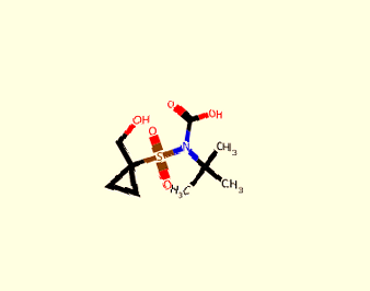 CC(C)(C)N(C(=O)O)S(=O)(=O)C1(CO)CC1